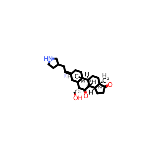 C[C@]12CC/C(=C\CC3CCNC3)CC1[C@@H](CO)C(=O)[C@@H]1[C@@H]2CC[C@]2(C)C(=O)CC[C@@H]12